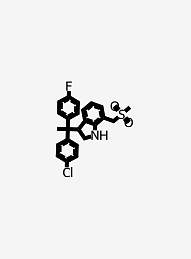 CC(c1ccc(F)cc1)(c1ccc(Cl)cc1)C1CNc2c(CS(C)(=O)=O)cccc21